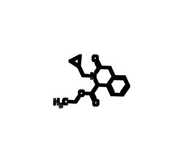 CCOC(=O)C1c2ccccc2CC(=O)N1CC1CC1